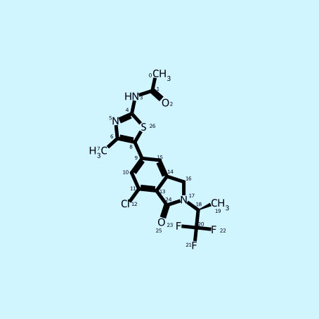 CC(=O)Nc1nc(C)c(-c2cc(Cl)c3c(c2)CN([C@@H](C)C(F)(F)F)C3=O)s1